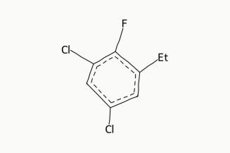 CCc1cc(Cl)cc(Cl)c1F